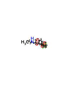 CCCNC[C@H]1COc2ccc(S(=O)(=O)C(F)(F)F)cc2O1